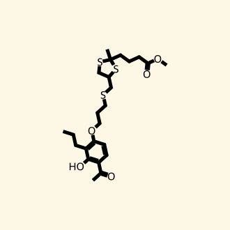 CCCc1c(OCCCSCC2CSC(C)(CCCC(=O)OC)S2)ccc(C(C)=O)c1O